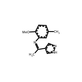 COc1ccc(C)cc1N=C(C)c1cn[nH]c1